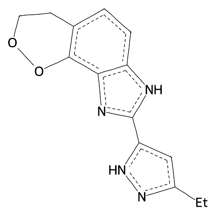 CCc1cc(-c2nc3c4c(ccc3[nH]2)CCOO4)[nH]n1